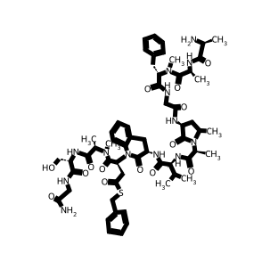 CC(C)[C@H](NC(=O)[C@H](C)N1C(=O)[C@@H](NC(=O)CNC(=O)[C@H](Cc2ccccc2)N(C)C(=O)[C@H](C)NC(=O)[C@H](C)N)CC1C)C(=O)N[C@H]1Cc2ccccc2N([C@@H](CC(=O)SCc2ccccc2)C(=O)N(C)[C@@H](C)C(=O)N[C@@H](CO)C(=O)NCC(N)=O)C1=O